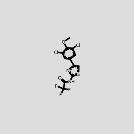 COc1c(Cl)cc(-c2csc(NC(=O)C(F)(F)F)n2)cc1Cl